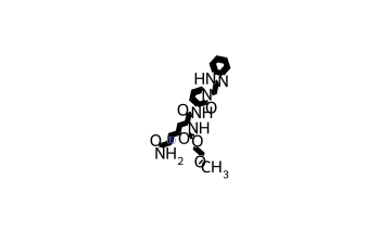 COCCOC(=O)NC(CC/C=C/C(N)=O)C(=O)Nc1cccn(Cc2nc3ccccc3[nH]2)c1=O